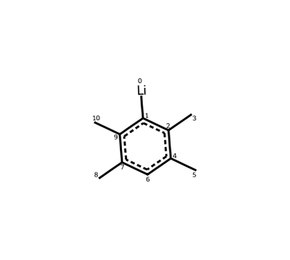 [Li][c]1c(C)c(C)cc(C)c1C